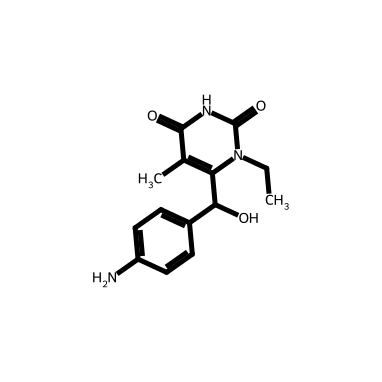 CCn1c(C(O)c2ccc(N)cc2)c(C)c(=O)[nH]c1=O